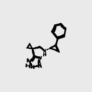 c1ccc(C2C[C@@H]2NCC2(c3nn[nH]n3)CC2)cc1